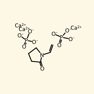 C=CN1CCCC1=O.O=P([O-])([O-])[O-].O=P([O-])([O-])[O-].[Ca+2].[Ca+2].[Ca+2]